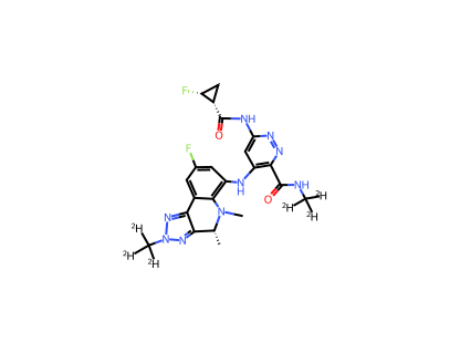 [2H]C([2H])([2H])NC(=O)c1nnc(NC(=O)[C@H]2C[C@H]2F)cc1Nc1cc(F)cc2c1N(C)[C@H](C)c1nn(C([2H])([2H])[2H])nc1-2